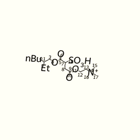 CCCCC(CC)COC(=O)C(CC(=O)OCC[N+](C)(C)C)S(=O)(=O)O